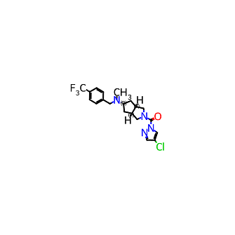 CN(Cc1ccc(C(F)(F)F)cc1)[C@@H]1C[C@@H]2CN(C(=O)n3cc(Cl)cn3)C[C@@H]2C1